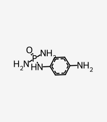 Nc1ccc(NP(N)(N)=O)cc1